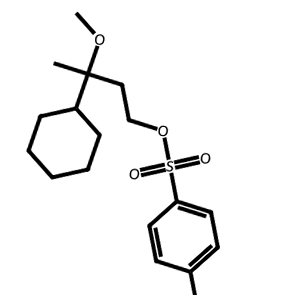 COC(C)(CCOS(=O)(=O)c1ccc(C)cc1)C1CCCCC1